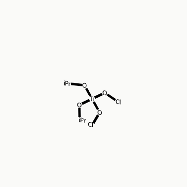 CC(C)[O][Ti]([O]Cl)([O]Cl)[O]C(C)C